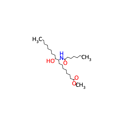 CCCCCCCCC(O)C(CCCCCCCC(=O)OC)NC(=O)CCCCCC